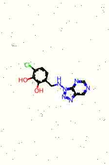 Oc1c(Cl)ccc(CNn2nnc3cncnc32)c1O